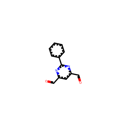 O=Cc1cc(C=O)nc(-c2ccccc2)n1